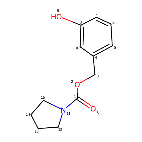 O=C(OCc1cccc(O)c1)N1CCCC1